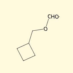 O=[C]OCC1CCC1